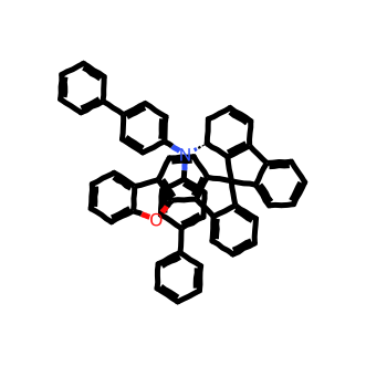 C1=CC2=C([C@H](N(c3ccc(-c4ccccc4)cc3)c3ccc(-c4ccccc4)cc3)C1)C1(c3ccccc32)c2ccccc2-c2c1ccc1c2oc2ccccc21